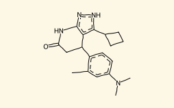 Cc1cc(N(C)C)ccc1C1CC(=O)Nc2n[nH]c(C3CCC3)c21